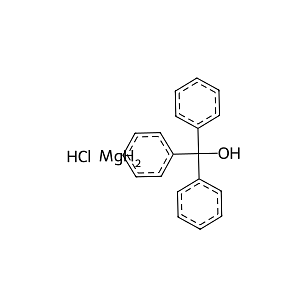 Cl.OC(c1ccccc1)(c1ccccc1)c1ccccc1.[MgH2]